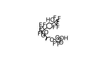 C=C(COCC(F)(F)S(=O)(=O)O)C(=O)OC(C1CCC(C(O)(C(F)(F)F)C(F)(F)F)CC1)(C(F)(F)F)C(F)(F)F